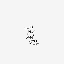 CC1CN(C(=O)OC(C)(C)C)[C@@H](C)CN1C(=O)Cl